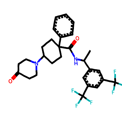 CC(NC(=O)C1(c2ccccc2)CCC(N2CCC(=O)CC2)CC1)c1cc(C(F)(F)F)cc(C(F)(F)F)c1